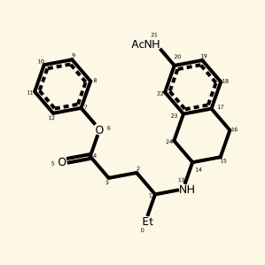 CCC(CCC(=O)Oc1ccccc1)NC1CCc2ccc(NC(C)=O)cc2C1